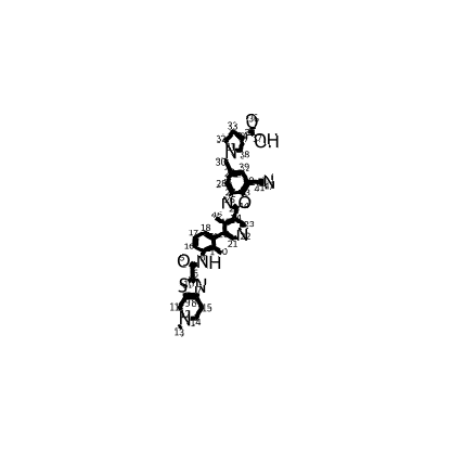 Cc1c(NC(=O)c2nc3c(s2)CN(C)CC3)cccc1-c1cncc(-c2nc3cc(CN4CC[C@H](C(=O)O)C4)cc(C#N)c3o2)c1C